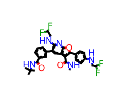 CNC(=O)c1c(-c2ccc(NCC(F)F)cc2)oc2nc(NCC(F)F)c(-c3cccc(C(=O)NC(C)(C)C)c3)cc12